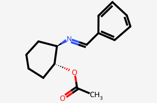 CC(=O)O[C@@H]1CCCC[C@H]1/N=C/c1ccccc1